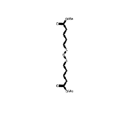 COC(=O)CCCCSOSCCCCC(=O)OC